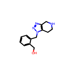 OCc1ccccc1Cn1nnc2c1CCNC2